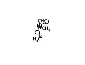 COc1cccc(-n2nc(C)c(-c3ccccc3)c2C)c1